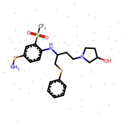 NSc1ccc(NC(CCN2CCC(O)C2)CSc2ccccc2)c(S(=O)(=O)C(F)(F)F)c1